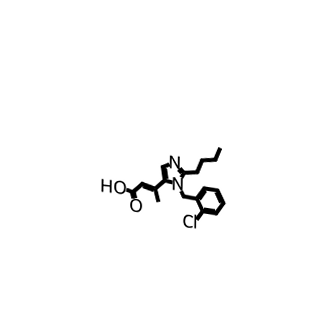 CCCCc1ncc(/C(C)=C/C(=O)O)n1Cc1ccccc1Cl